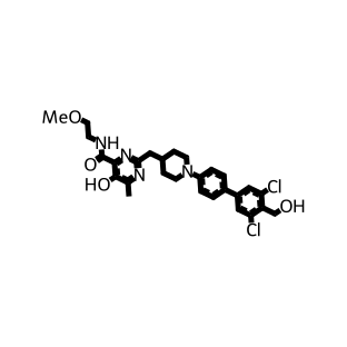 COCCNC(=O)c1nc(CC2CCN(c3ccc(-c4cc(Cl)c(CO)c(Cl)c4)cc3)CC2)nc(C)c1O